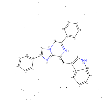 c1ccc(C2=N[C@@H](Cc3c[nH]c4ccccc34)c3nc(-c4ccccc4)cn3C2)cc1